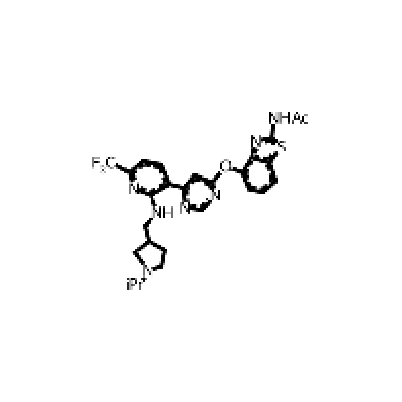 CC(=O)Nc1nc2c(Oc3cc(-c4ccc(C(F)(F)F)nc4NCC4CCN(C(C)C)C4)ncn3)cccc2s1